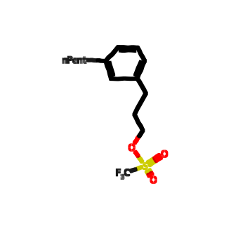 CCCCCc1cccc(CCCOS(=O)(=O)C(F)(F)F)c1